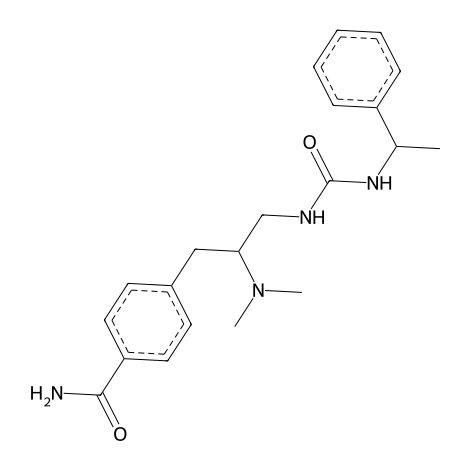 CC(NC(=O)NCC(Cc1ccc(C(N)=O)cc1)N(C)C)c1ccccc1